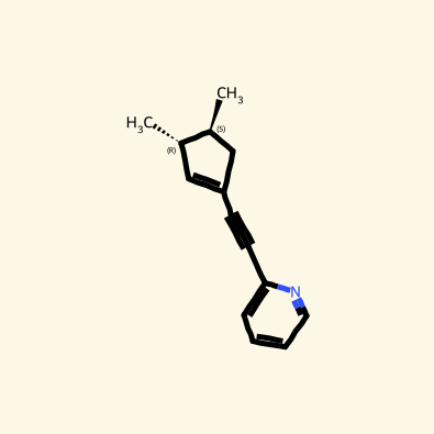 C[C@H]1C=C(C#Cc2ccccn2)C[C@@H]1C